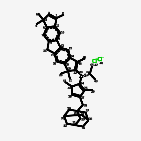 CC1=CC(C)(C)c2cc3c(cc21)-c1cc2c(cc1C3)C(C)(C)[C]([Zr+2]([C]1=C(C)C(CC34CC5CC(CC(C5)C3)C4)=CC1C)=[C](C)C)=C2C.[Cl-].[Cl-]